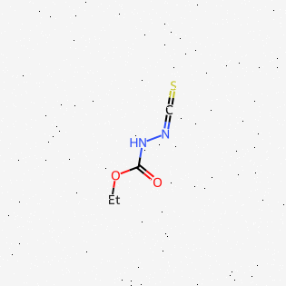 CCOC(=O)NN=C=S